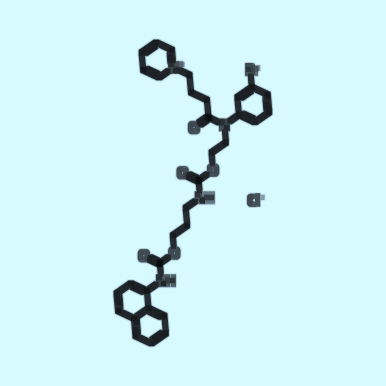 O=C(NCCCOC(=O)Nc1cccc2ccccc12)OCCN(C(=O)CCC[n+]1ccccc1)c1cccc(Br)c1.[Cl-]